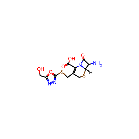 NC1C(=O)N2C(C(=O)O)=C(CSc3nnc(CO)o3)CS[C@@H]12